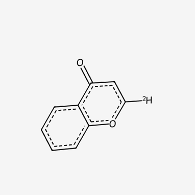 [2H]c1cc(=O)c2ccccc2o1